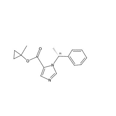 C[C@H](c1ccccc1)n1cncc1C(=O)OC1(C)CC1